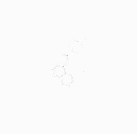 CN1CCN(C(=O)Cc2cccc3ccccc23)CC1.Cl